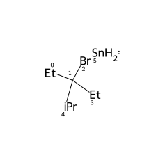 CCC(Br)(CC)C(C)C.[SnH2]